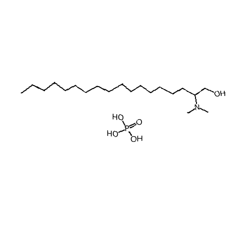 CCCCCCCCCCCCCCCCC(CO)N(C)C.O=P(O)(O)O